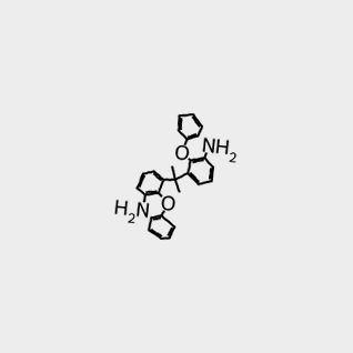 CC(C)(c1cccc(N)c1Oc1ccccc1)c1cccc(N)c1Oc1ccccc1